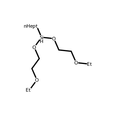 CCCCCCC[SiH](OCCOCC)OCCOCC